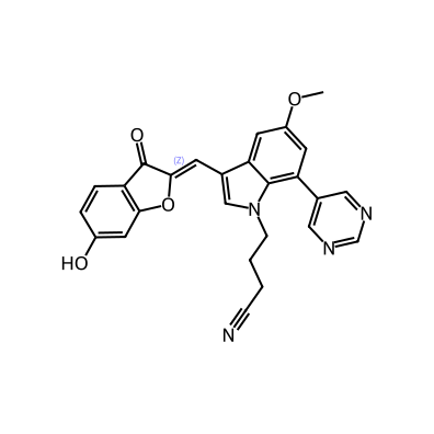 COc1cc(-c2cncnc2)c2c(c1)c(/C=C1\Oc3cc(O)ccc3C1=O)cn2CCCC#N